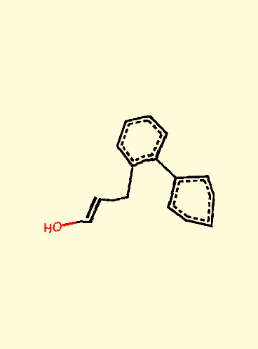 OC=CCc1ccccc1-c1ccccc1